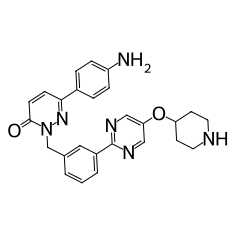 Nc1ccc(-c2ccc(=O)n(Cc3cccc(-c4ncc(OC5CCNCC5)cn4)c3)n2)cc1